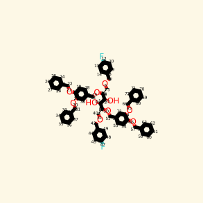 O[C@@H]([C@H](O)[C@@H](COCc1ccc(F)cc1)OCc1ccc(OCc2ccccc2)c(OCc2ccccc2)c1)[C@@H](COCc1ccc(F)cc1)OCc1ccc(OCc2ccccc2)c(OCc2ccccc2)c1